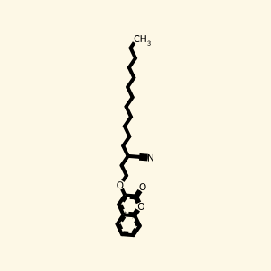 CCCCCCCCCCCCC(C#N)CCOc1cc2ccccc2oc1=O